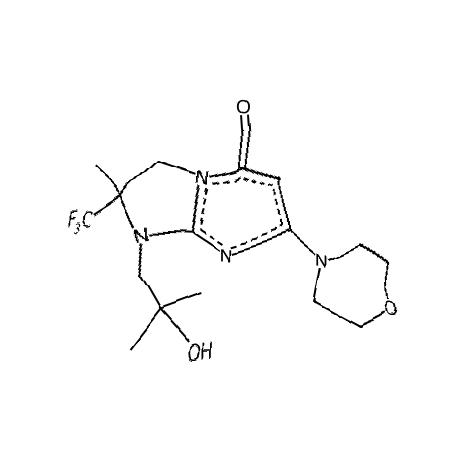 CC(C)(O)CN1c2nc(N3CCOCC3)cc(=O)n2CC1(C)C(F)(F)F